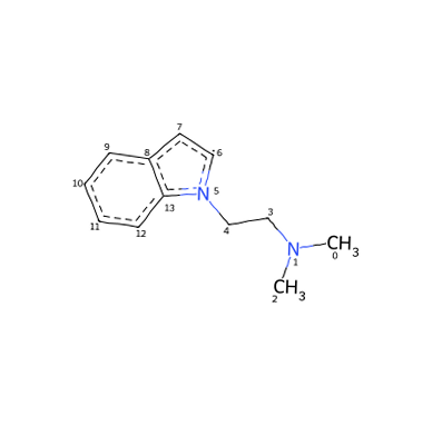 CN(C)CCn1[c]cc2ccccc21